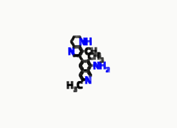 Cc1cc2cc(-c3cnc4c(c3C)NCCC4)c(C)c(N)c2cn1